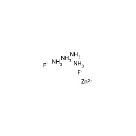 N.N.N.N.[F-].[F-].[Zn+2]